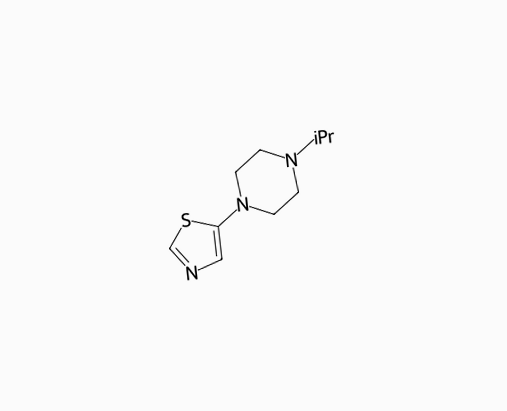 CC(C)N1CCN(c2cncs2)CC1